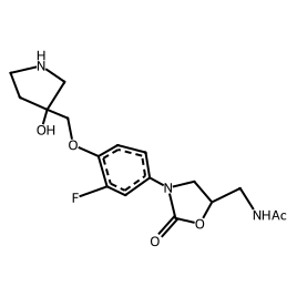 CC(=O)NCC1CN(c2ccc(OCC3(O)CCNC3)c(F)c2)C(=O)O1